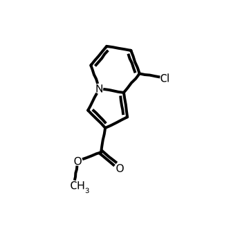 COC(=O)c1cc2c(Cl)cccn2c1